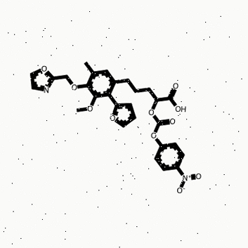 COc1c(OCc2ncco2)c(C)cc(CCCC(OC(=O)Oc2ccc([N+](=O)[O-])cc2)C(=O)O)c1-c1ccco1